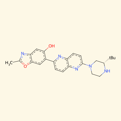 Cc1nc2cc(O)c(-c3ccc4nc(N5CCN[C@@H](C(C)(C)C)C5)ccc4n3)cc2o1